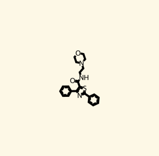 O=C(NCCN1CCOCC1)c1sc(-c2ccccc2)nc1-c1ccccc1